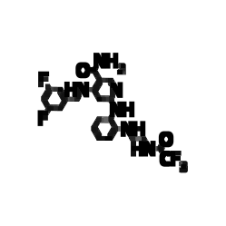 NC(=O)c1cnc(Nc2ccccc2NCCNC(=O)C(F)(F)F)cc1NCc1cc(F)cc(F)c1